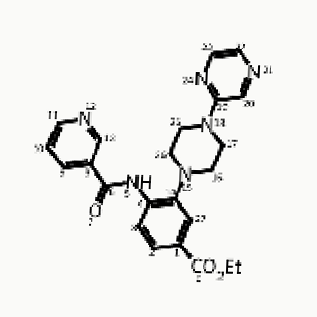 CCOC(=O)c1ccc(NC(=O)c2cccnc2)c(N2CCN(c3cnccn3)CC2)c1